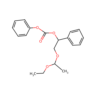 CCOC(C)OCC(OC(=O)Oc1ccccc1)c1ccccc1